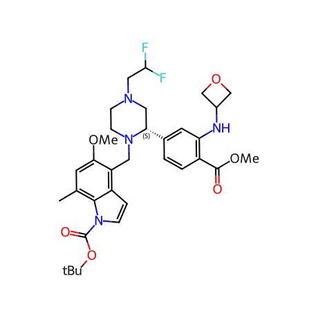 COC(=O)c1ccc([C@H]2CN(CC(F)F)CCN2Cc2c(OC)cc(C)c3c2ccn3C(=O)OC(C)(C)C)cc1NC1COC1